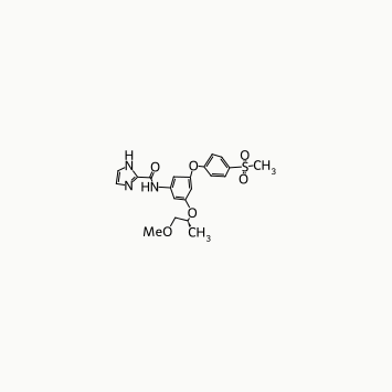 COC[C@H](C)Oc1cc(NC(=O)c2ncc[nH]2)cc(Oc2ccc(S(C)(=O)=O)cc2)c1